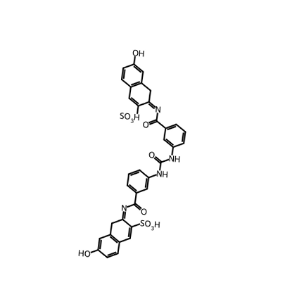 O=C(Nc1cccc(C(=O)N=C2Cc3cc(O)ccc3C=C2S(=O)(=O)O)c1)Nc1cccc(C(=O)N=C2Cc3cc(O)ccc3C=C2S(=O)(=O)O)c1